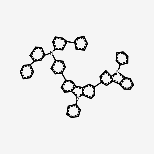 c1ccc(-c2cccc(N(c3ccc(-c4ccc5c(c4)c4cc(-c6ccc7c(c6)c6ccccc6n7-c6ccccc6)ccc4n5-c4ccccc4)cc3)c3cccc(-c4ccccc4)c3)c2)cc1